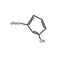 CCCCCc1cc[c]c(C#N)c1